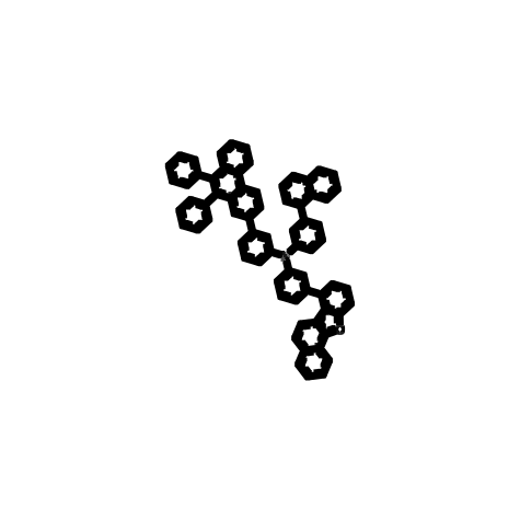 c1ccc(-c2c(-c3ccccc3)c3cc(-c4cccc(N(c5cccc(-c6cccc7ccccc67)c5)c5cccc(-c6cccc7oc8c9ccccc9ccc8c67)c5)c4)ccc3c3ccccc23)cc1